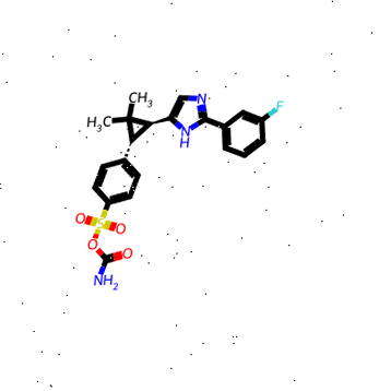 CC1(C)[C@@H](c2ccc(S(=O)(=O)OC(N)=O)cc2)[C@@H]1c1cnc(-c2cccc(F)c2)[nH]1